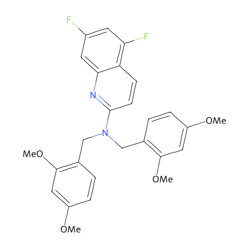 COc1ccc(CN(Cc2ccc(OC)cc2OC)c2ccc3c(F)cc(F)cc3n2)c(OC)c1